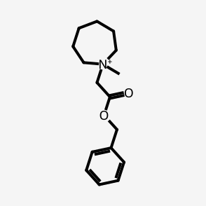 C[N+]1(CC(=O)OCc2ccccc2)CCCCCC1